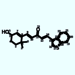 CC1(C)CCC(O)C=C1/C=C/C(=O)/C=C/c1csc2ccccc12